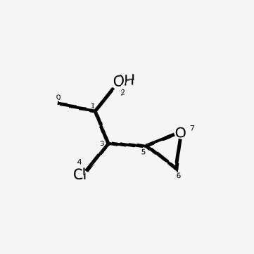 CC(O)C(Cl)C1CO1